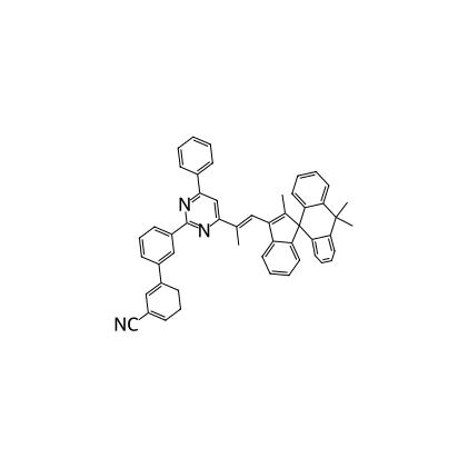 CC1=C(/C=C(\C)c2cc(-c3ccccc3)nc(-c3cccc(C4=CC(C#N)=CCC4)c3)n2)c2ccccc2C12c1ccccc1C(C)(C)c1ccccc12